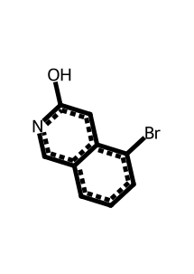 Oc1cc2c(Br)cccc2cn1